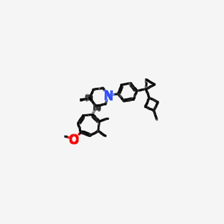 COC1=CC(C)C(C)=C([C@H]2CN(c3ccc(C4(C5CC(C)C5)CC4)cc3)CC[C@@H]2C)C=C1